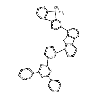 CC1(C)c2ccccc2-c2ccc(-c3cccc4c3Cc3c(-c5cccc(-c6nc(-c7ccccc7)nc(-c7ccccc7)n6)c5)cccc3-4)cc21